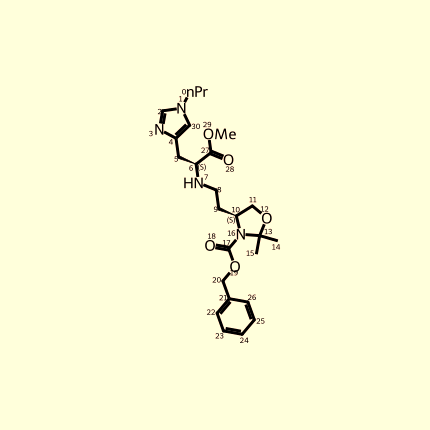 CCCn1cnc(C[C@H](NCC[C@H]2COC(C)(C)N2C(=O)OCc2ccccc2)C(=O)OC)c1